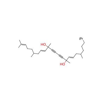 CC(C)=CCCC(C)CC=CC(C)(O)C#CC#CC(C)(O)C=CCC(C)CCCC(C)C